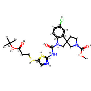 COC(=O)N1CCC2(C1)CN(C(=O)Nc1ncc(SCCC(=O)OC(C)(C)C)s1)c1ccc(Cl)cc12